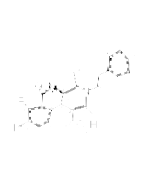 COc1c(C2C(C(=O)O)=C(C)N(CCc3ccccc3)C(C)=C2[N+](=O)[O-])ccc(F)c1F